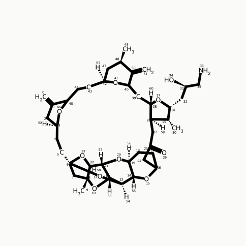 C=C1C[C@@H]2CC[C@@]34C[C@@]5(C)O[C@H]6[C@@H](O3)[C@H]3OC(CC[C@@H]3O[C@H]6[C@H]5O4)CC(=O)C[C@@H]3[C@@H](C)[C@@H](C[C@@H](O)CN)O[C@H]3CC3O[C@@H](CCC1O2)C[C@@H](C)C3=C